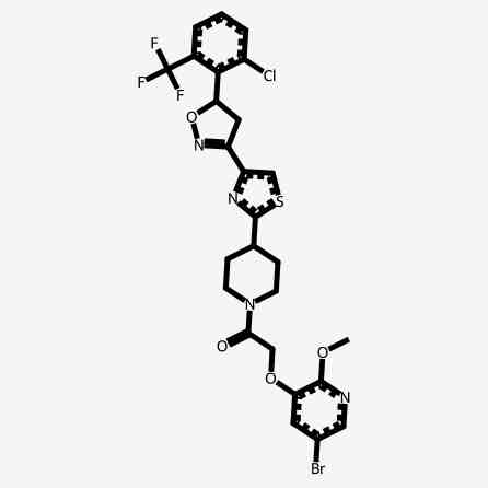 COc1ncc(Br)cc1OCC(=O)N1CCC(c2nc(C3=NOC(c4c(Cl)cccc4C(F)(F)F)C3)cs2)CC1